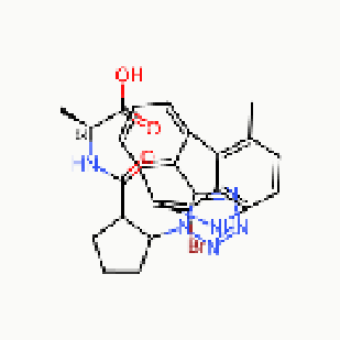 Cc1ccc2[nH]c3c(Br)c2c1-c1cccc-3c1-c1nnnn1C1CCCC1C(=O)N[C@@H](C)C(=O)O